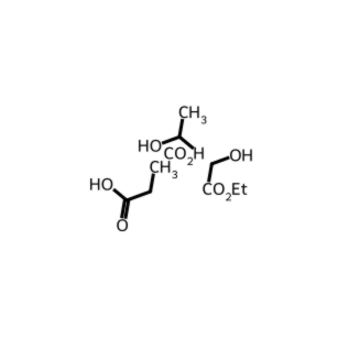 CC(O)C(=O)O.CCC(=O)O.CCOC(=O)CO